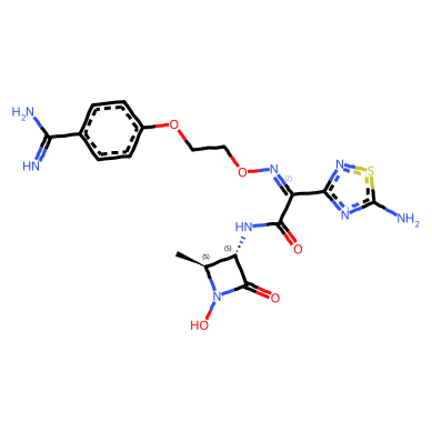 C[C@H]1[C@H](NC(=O)/C(=N\OCCOc2ccc(C(=N)N)cc2)c2nsc(N)n2)C(=O)N1O